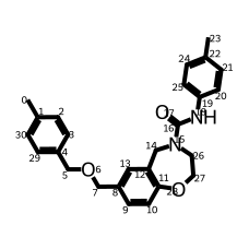 Cc1ccc(COCc2ccc3c(c2)CN(C(=O)Nc2ccc(C)cc2)CCO3)cc1